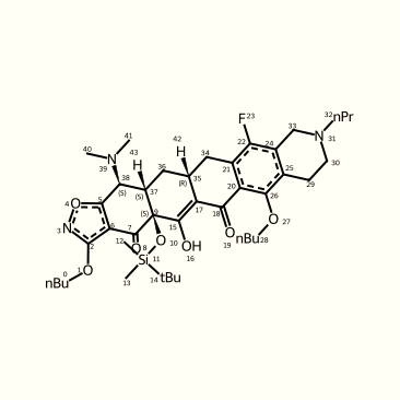 CCCCOc1noc2c1C(=O)[C@@]1(O[Si](C)(C)C(C)(C)C)C(O)=C3C(=O)c4c(c(F)c5c(c4OCCCC)CCN(CCC)C5)C[C@H]3C[C@H]1[C@@H]2N(C)C